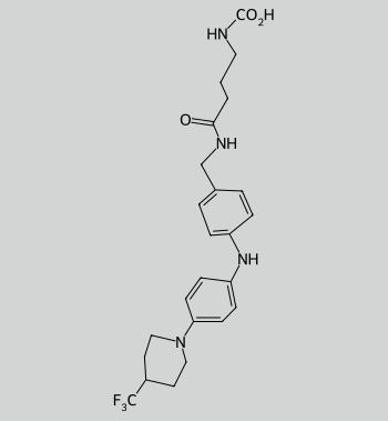 O=C(O)NCCCC(=O)NCc1ccc(Nc2ccc(N3CCC(C(F)(F)F)CC3)cc2)cc1